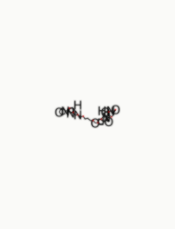 O=C1CCC(N2Cc3cc(OCCCCCCNCc4cccc(N5CCOCC5)n4)ccc3C2=O)C(=O)N1